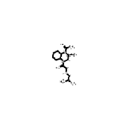 CC(=O)N1C2CCCCC2N(C(=O)COCC(C)C)C[C@@H]1C